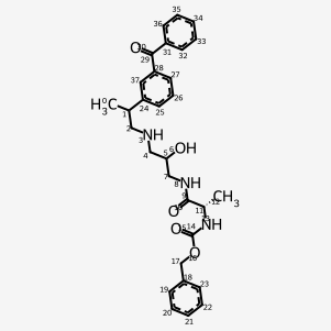 CC(CNCC(O)CNC(=O)[C@H](C)NC(=O)OCc1ccccc1)c1cccc(C(=O)c2ccccc2)c1